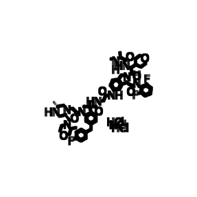 CNC(C)C(=O)NC(C(=O)N1Cc2ccc(NC(=O)CNC(=O)C3(C)CN(C(=O)CN4C[C@@H](C)NC[C@@H]4CN4CCOCC4C)c4cc(Cc5ccc(F)cc5)ccc43)cc2C1C(=O)Nc1c(F)cccc1F)C1CCOCC1.Cl.Cl.Cl